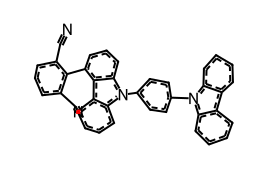 N#Cc1cccc(C#N)c1-c1cccc2c1c1ccccc1n2-c1ccc(-n2c3ccccc3c3ccccc32)cc1